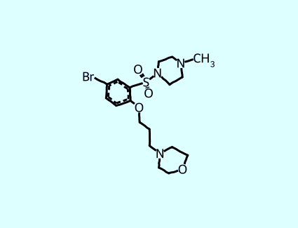 CN1CCN(S(=O)(=O)c2cc(Br)ccc2OCCCN2CCOCC2)CC1